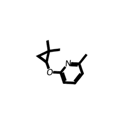 Cc1cccc(OC2CC2(C)C)n1